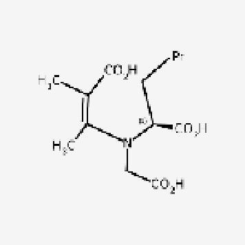 CC(C(=O)O)=C(C)N(CC(=O)O)[C@@H](CC(C)C)C(=O)O